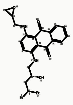 CCN(CC)C[C@@H](O)CNc1ccc(NCC2CO2)c2c1C(=O)c1ccccc1C2=O